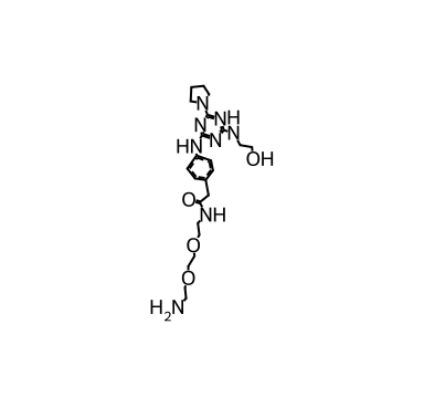 NCCOCCOCCNC(=O)Cc1ccc(Nc2nc(NCCO)nc(N3CCCC3)n2)cc1